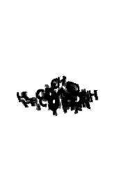 CC1CC(C)(C)c2cccc(CNC(=O)c3c[nH]nc3C(F)F)c21